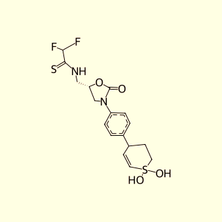 O=C1O[C@@H](CNC(=S)C(F)F)CN1c1ccc(C2C=CS(O)(O)CC2)cc1